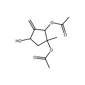 C=C1C(O)CC(C)(OC(C)=O)C1OC(C)=O